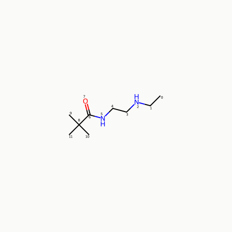 CCNCCNC(=O)C(C)(C)C